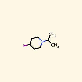 CC(C)N1CCC(I)CC1